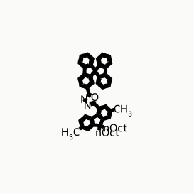 CCCCCCCCC1(CCCCCCCC)c2cc(C)ccc2-c2c(-c3nnc(-c4ccc5c(c4)C4(c6ccccc6-c6ccccc64)c4ccccc4-5)o3)cc(C)cc21